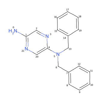 Nc1cnc(N(Cc2ccccc2)Cc2ccccc2)cn1